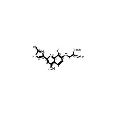 COC(COc1ccc2c(O)cc(-c3csc(I)n3)nc2c1Cl)OC